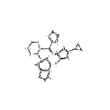 O=C(c1nccs1)N1CCNCC1c1nc(Nc2cc(C3CC3)n[nH]2)n2cccc2n1